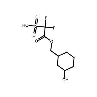 O=C(OCC1CCCC(O)C1)C(F)(F)S(=O)(=O)O